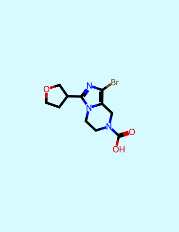 O=C(O)N1CCn2c(C3CCOC3)nc(Br)c2C1